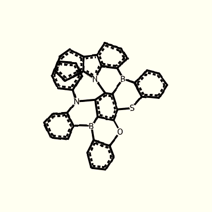 c1ccc(N2c3ccccc3B3c4ccccc4Oc4c5c6c(c2c43)-n2c3ccccc3c3cccc(c32)B6c2ccccc2S5)cc1